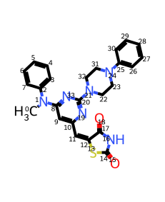 CN(c1ccccc1)c1cc(/C=C2/SC(=O)NC2=O)nc(N2CCN(c3ccccc3)CC2)n1